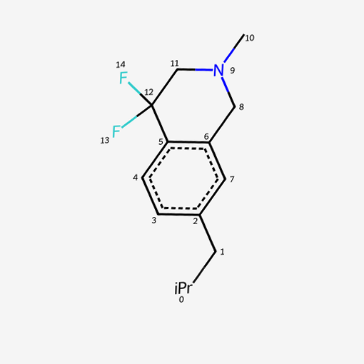 CC(C)Cc1ccc2c(c1)CN(C)CC2(F)F